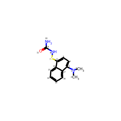 CN(C)c1ccc(SNC(N)=O)c2ccccc12